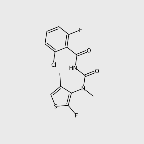 Cc1csc(F)c1N(C)C(=O)NC(=O)c1c(F)cccc1Cl